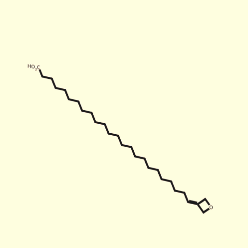 O=C(O)CCCCCCCCCCCCCCCCCCCCCCC=C1COC1